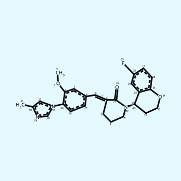 COc1cc(/C=C2\CCCN([C@@H]3CCOc4ccc(F)cc43)C2=O)ccc1-n1cnc(C)c1